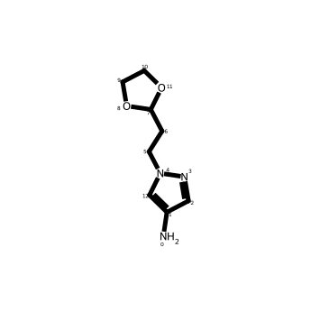 Nc1cnn(CCC2OCCO2)c1